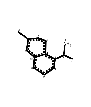 Cc1ccc2c(C(C)N)cccc2c1